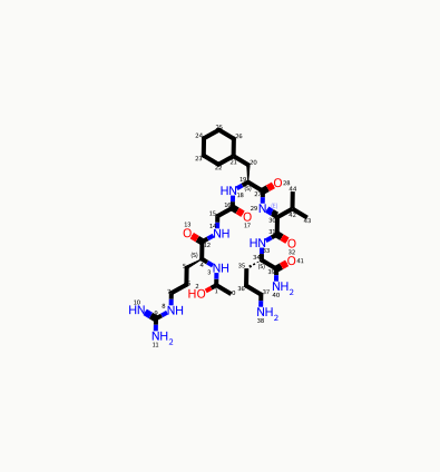 CC(O)N[C@@H](CCCNC(=N)N)C(=O)NCC(=O)N[C@@H](CC1CCCCC1)C(=O)/N=C(/C(=O)N[C@@H](CCCN)C(N)=O)C(C)C